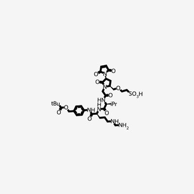 CC(C)[C@H](NC(=O)CN1C(=O)[C@@H](N2C(=O)C=CC2=O)C[C@H]1COCCS(=O)(=O)O)C(=O)N[C@@H](CCCNCN)C(=O)Nc1ccc(COC(=O)C(C)(C)C)cc1